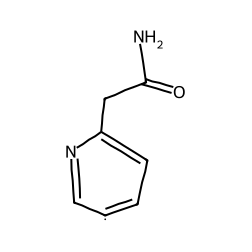 NC(=O)Cc1cc[c]cn1